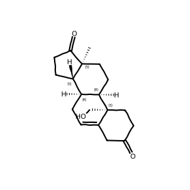 C[C@]12CC[C@@H]3[C@@H](CC=C4CC(=O)CC[C@@]43CO)[C@@H]1CCC2=O